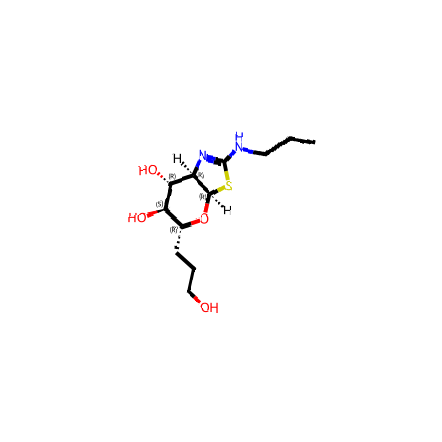 CCCNC1=N[C@@H]2[C@@H](O)[C@H](O)[C@@H](CCCO)O[C@@H]2S1